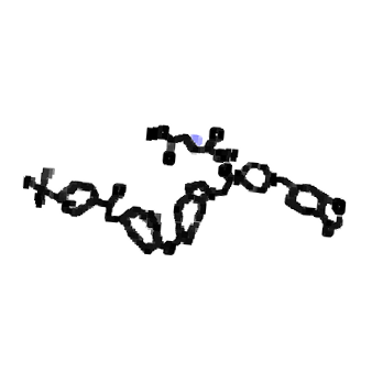 O=C(Cc1ccc(Oc2ccc3c(ccn3CC(=O)N3CCN(Cc4ccc5c(c4)OCO5)CC3)c2)nc1)c1ccc(C(F)(F)F)cc1.O=C(O)/C=C/C(=O)O